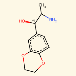 CC(N)[C@H](O)c1ccc2c(c1)OCCO2